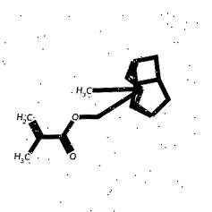 C=C(C)C(=O)OCC1(C)C=C2CC3CC(CC23)C1